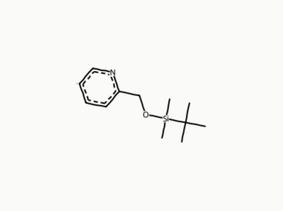 CC(C)(C)[Si](C)(C)OCc1cc[c]cn1